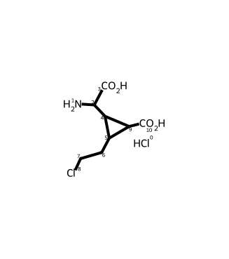 Cl.NC(C(=O)O)C1C(CCCl)C1C(=O)O